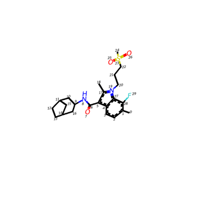 Cc1ccc2c(C(=O)NC3CC4CCC(C4)C3)c(C)n(CCCS(C)(=O)=O)c2c1F